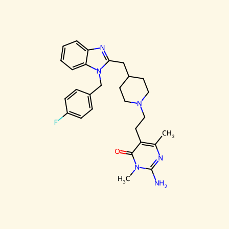 Cc1nc(N)n(C)c(=O)c1CCN1CCC(Cc2nc3ccccc3n2Cc2ccc(F)cc2)CC1